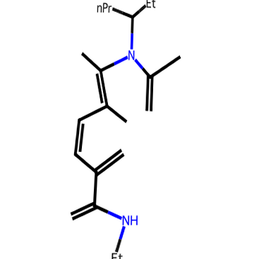 C=C(/C=C\C(C)=C(/C)N(C(=C)C)C(CC)CCC)C(=C)NCC